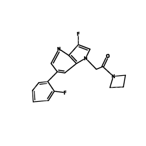 O=C(Cn1cc(F)c2ncc(-c3ccccc3F)cc21)N1CCC1